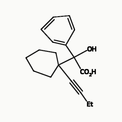 CCC#CC1(C(O)(C(=O)O)c2ccccc2)CCCCC1